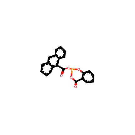 O=C1OP(OC(=O)c2c3ccccc3cc3ccccc23)Oc2ccccc21